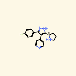 Fc1ccc(-c2n[nH]c([C@H]3CCCN3)c2-c2ccncc2)cc1